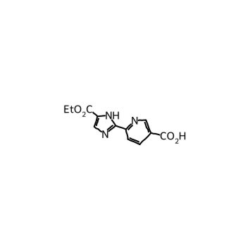 CCOC(=O)c1cnc(-c2ccc(C(=O)O)cn2)[nH]1